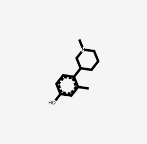 Cc1cc(O)ccc1C1CCCN(C)C1